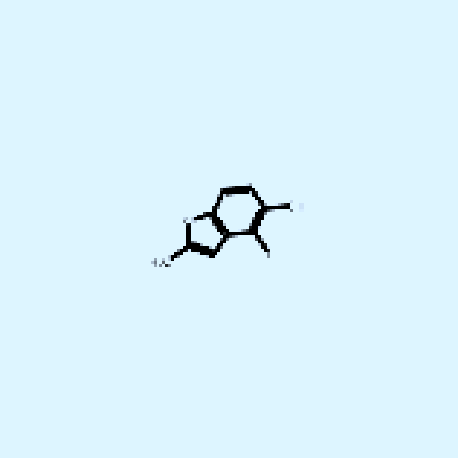 Cc1cc2c(I)c(C)ccc2o1